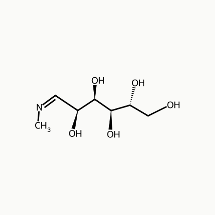 C/N=C\[C@H](O)[C@@H](O)[C@H](O)[C@H](O)CO